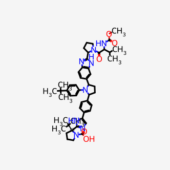 COC(=O)NC(C(=O)N1CCCC1c1nc2ccc(C3CCC(c4ccc(-c5cnc([C@@]6(C(C)(C)C)CCCN6C(=O)O)[nH]5)cc4)N3c3ccc(C(C)(C)C)cc3)cc2[nH]1)C(C)C